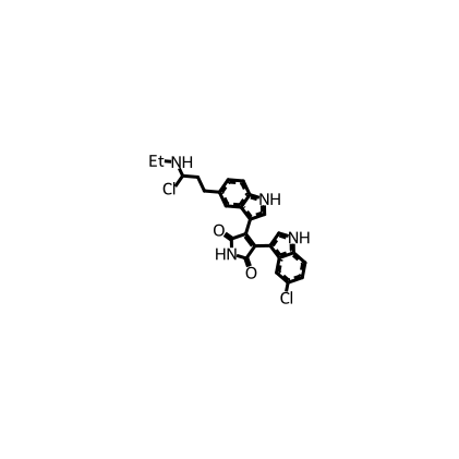 CCNC(Cl)CCc1ccc2[nH]cc(C3=C(c4c[nH]c5ccc(Cl)cc45)C(=O)NC3=O)c2c1